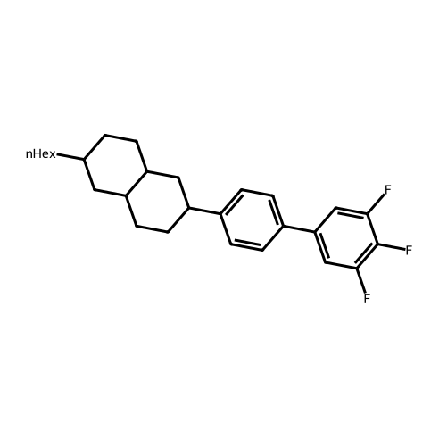 CCCCCCC1CCC2CC(c3ccc(-c4cc(F)c(F)c(F)c4)cc3)CCC2C1